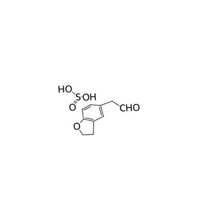 O=CCc1ccc2c(c1)CCO2.O=S(O)O